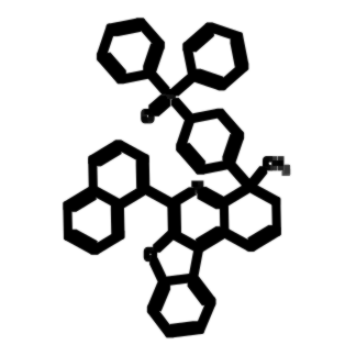 CC1(C2=CCC(P(=O)(c3ccccc3)c3ccccc3)C=C2)CC=Cc2c1nc(-c1cccc3ccccc13)c1oc3ccccc3c21